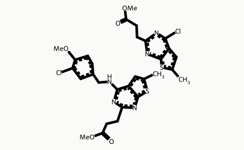 COC(=O)CCc1nc(Cl)c2cc(C)sc2n1.COC(=O)CCc1nc(NCc2ccc(OC)c(Cl)c2)c2cc(C)sc2n1